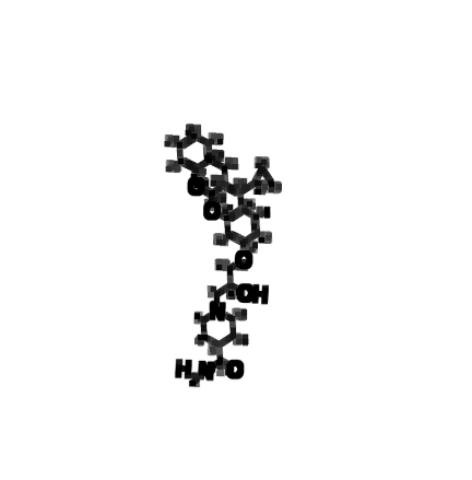 NC(=O)C1CCN(CC(O)COc2ccc3c(C4CC4)c(Cc4ccccc4)c(=O)oc3c2)CC1